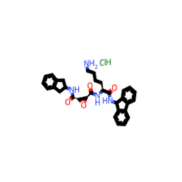 Cl.NCCCC[C@H](NC(=O)[C@H]1O[C@@H]1C(=O)NC1Cc2ccccc2C1)C(=O)NC1c2ccccc2-c2ccccc21